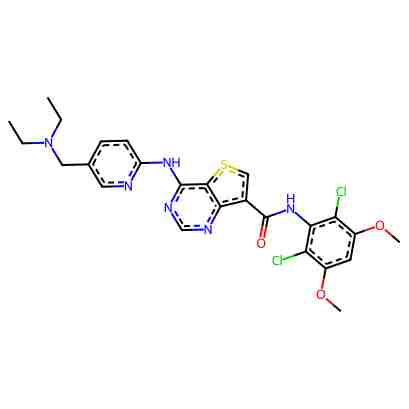 CCN(CC)Cc1ccc(Nc2ncnc3c(C(=O)Nc4c(Cl)c(OC)cc(OC)c4Cl)csc23)nc1